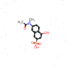 CC(=O)N(C)c1ccc2c(O)cc(S(=O)(=O)O)cc2c1